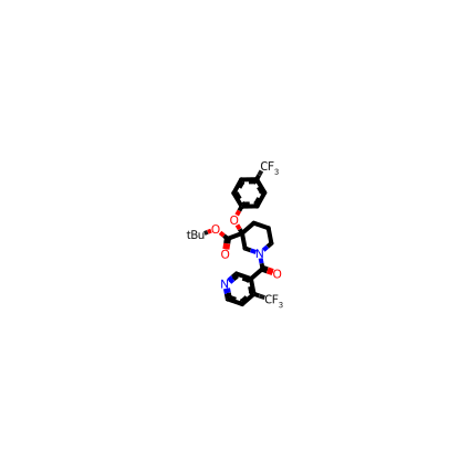 CC(C)(C)OC(=O)C1(Oc2ccc(C(F)(F)F)cc2)CCCN(C(=O)c2cnccc2C(F)(F)F)C1